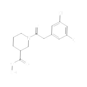 COC(=O)C1CCCN(C(=O)Cc2cc(Cl)cc(Cl)c2)C1